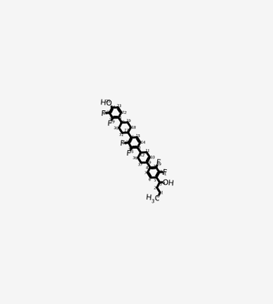 CCCC(O)c1ccc(C2=CCC(c3ccc(C4CCC(c5ccc(O)c(F)c5F)CC4)c(F)c3F)CC2)c(F)c1F